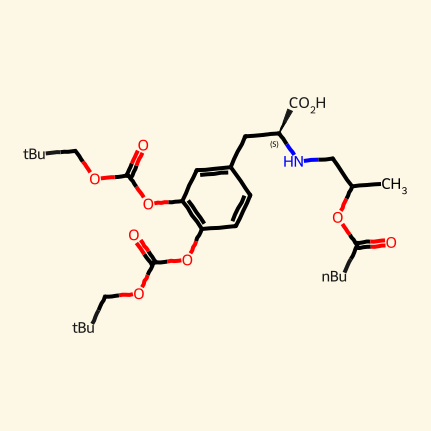 CCCCC(=O)OC(C)CN[C@@H](Cc1ccc(OC(=O)OCC(C)(C)C)c(OC(=O)OCC(C)(C)C)c1)C(=O)O